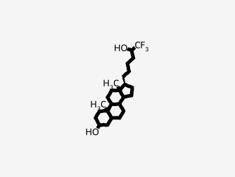 CC12CCC(O)CC1CCC1C2CCC2(C)C1CC[C@@H]2CCCCC(O)C(F)(F)F